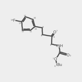 CC(C)(C)OC(=O)NCC(=O)CCc1ccc(F)cc1